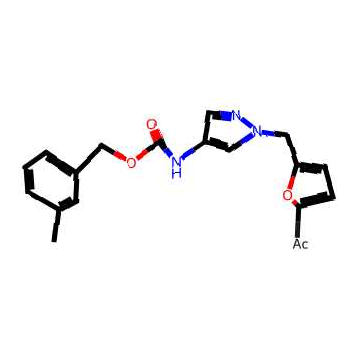 CC(=O)c1ccc(Cn2cc(NC(=O)OCc3cccc(C)c3)cn2)o1